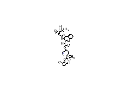 CCOCc1nc2c(NC(=O)OC3/C=C/CCC(C)(C(=O)ON4C(=O)CCC4=O)CC3)nc3ccccc3c2n1CC(C)(C)O